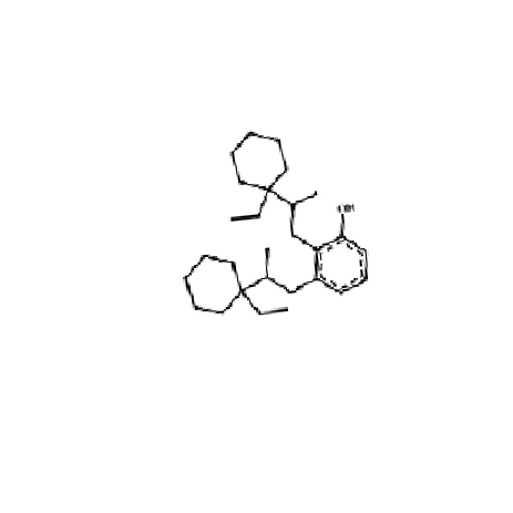 CCC1(C(C)Cc2cccc(O)c2CC(C)C2(CC)CCCCC2)CCCCC1